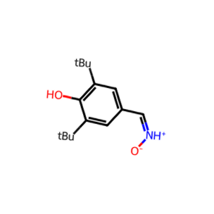 CC(C)(C)c1cc(/C=[NH+]\[O-])cc(C(C)(C)C)c1O